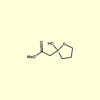 COC(=O)C[P]1(O)CCCO1